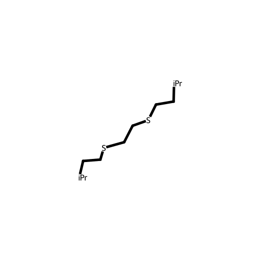 CC(C)CCSCCSCCC(C)C